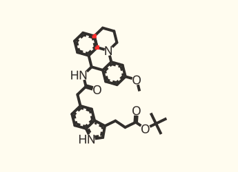 COc1ccc(C(NC(=O)Cc2ccc3[nH]cc(CCC(=O)OC(C)(C)C)c3c2)c2ccccc2)c(N2CCCCC2)c1